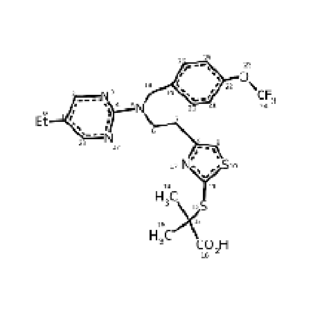 CCc1cnc(N(CCc2csc(SC(C)(C)C(=O)O)n2)Cc2ccc(OC(F)(F)F)cc2)nc1